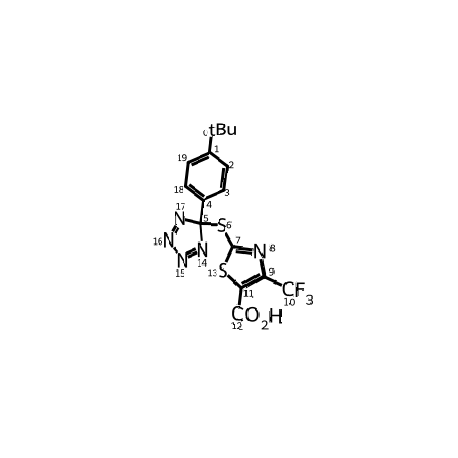 CC(C)(C)c1ccc(C2(Sc3nc(C(F)(F)F)c(C(=O)O)s3)N=NN=N2)cc1